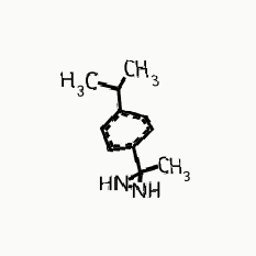 CC(C)c1ccc(C2(C)NN2)cc1